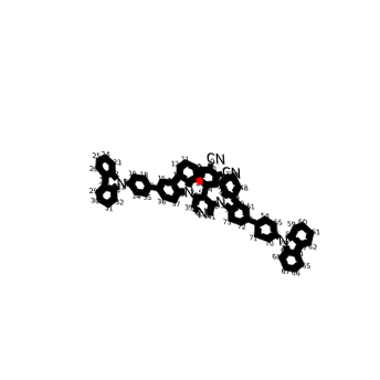 N#Cc1ccc(-c2c(-n3c4ccccc4c4cc(-c5ccc(-n6c7ccccc7c7ccccc76)cc5)ccc43)cncc2-n2c3ccccc3c3cc(-c4ccc(-n5c6ccccc6c6ccccc65)cc4)ccc32)cc1C#N